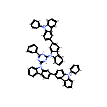 c1ccc(-c2nc(-n3c4ccccc4c4ccc(-c5ccc6c(c5)c5ccccc5n6-c5ccccc5)cc43)nc(-n3c4ccccc4c4ccc(-c5ccc6c(c5)c5ccccc5n6-c5ccccc5)cc43)n2)cc1